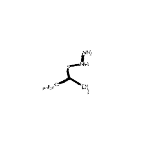 CC(C)SNN